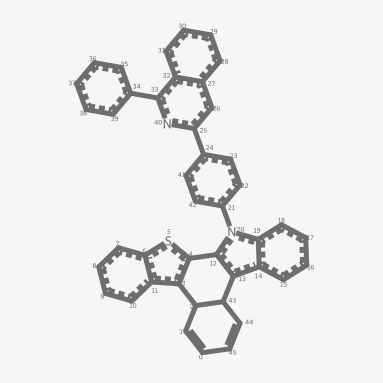 C1=CC2c3c(sc4ccccc34)-c3c(c4ccccc4n3-c3ccc(-c4cc5ccccc5c(-c5ccccc5)n4)cc3)C2C=C1